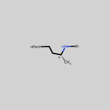 CCCCCCC[C@@H](C)NC(C)C